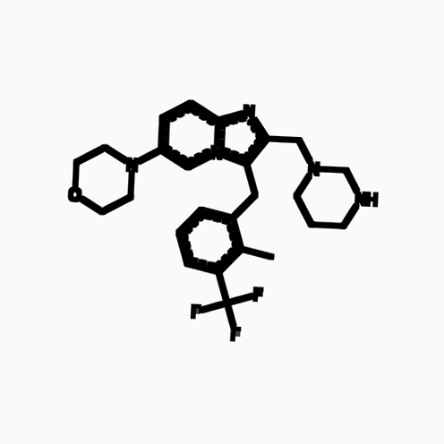 Cc1c(Cc2c(CN3CCCNC3)nc3ccc(N4CCOCC4)cn23)cccc1C(F)(F)F